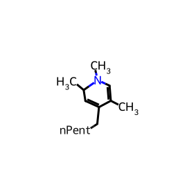 CCCCCCC1=CC(C)N(C)C=C1C